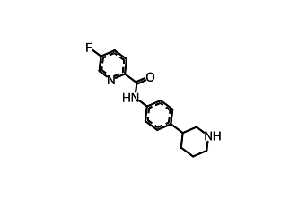 O=C(Nc1ccc(C2CCCNC2)cc1)c1ccc(F)cn1